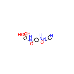 O=C(NCC1CCS(O)(O)C1)c1ccc(NC(=O)N2Cc3ccncc3C2)cc1